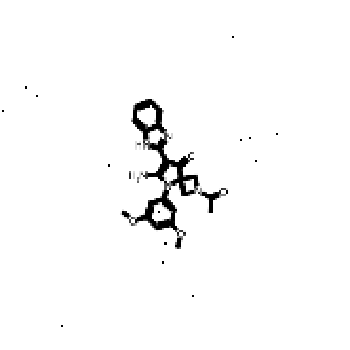 COc1cc(OC)cc(N2C(N)=C(c3nc4ccccc4[nH]3)C(=O)C23CN(C(C)=O)C3)c1